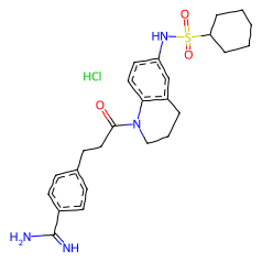 Cl.N=C(N)c1ccc(CCC(=O)N2CCCc3cc(NS(=O)(=O)C4CCCCC4)ccc32)cc1